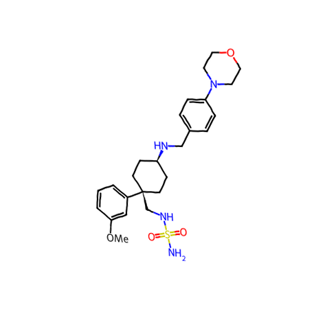 COc1cccc([C@]2(CNS(N)(=O)=O)CC[C@@H](NCc3ccc(N4CCOCC4)cc3)CC2)c1